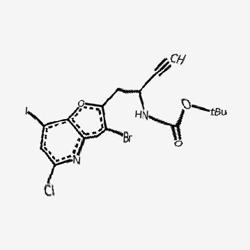 C#CC(Cc1oc2c(I)cc(Cl)nc2c1Br)NC(=O)OC(C)(C)C